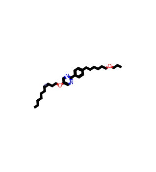 CCCCCC/C=C\CCOc1cnc(-c2ccc(CCCCCCOCCC)cc2)nc1